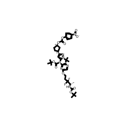 C[C@H](NC(=O)OC(C)(C)C)C(F)(F)CCOc1cncc(N(C(=O)OC(C)(C)C)c2cc([C@H]3CC[C@@H](OC(=O)Oc4ccc([N+](=O)[O-])cc4)C3)nn2C(C)(C)C)n1